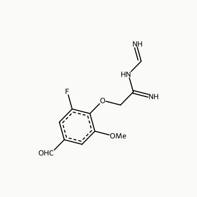 COc1cc(C=O)cc(F)c1OCC(=N)NC=N